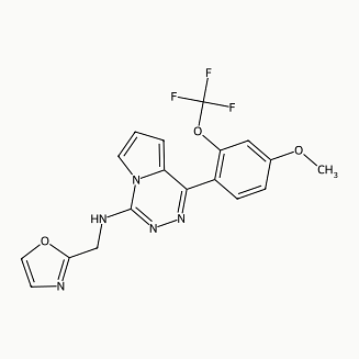 COc1ccc(-c2nnc(NCc3ncco3)n3cccc23)c(OC(F)(F)F)c1